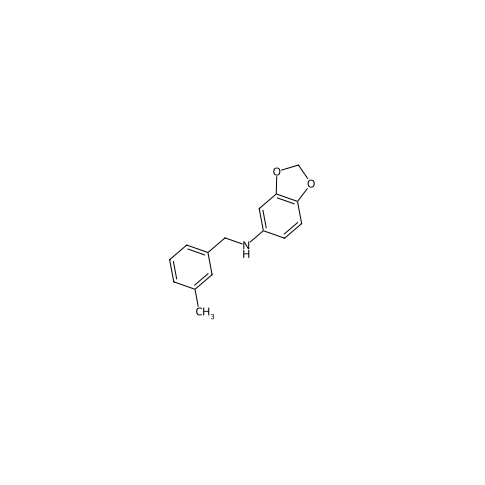 Cc1cccc(CNc2ccc3c(c2)OCO3)c1